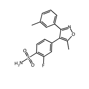 Cc1cccc(-c2noc(C)c2-c2ccc(S(N)(=O)=O)c(F)c2)c1